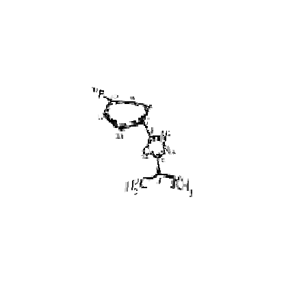 CC(C)c1nnc(-c2ccc(F)cc2)o1